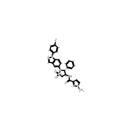 Cn1ccc(C(=O)NC2CS(=O)(=O)N(c3ccc4c(cnn4-c4ccc(F)cc4)c3)[C@@H]2c2ccccc2)n1